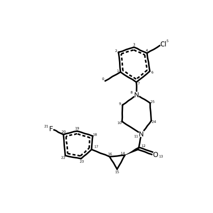 Cc1ccc(Cl)cc1N1CCN(C(=O)[C@H]2CC2c2ccc(F)cc2)CC1